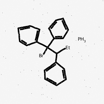 CCC(c1ccccc1)C(Br)(c1ccccc1)c1ccccc1.P